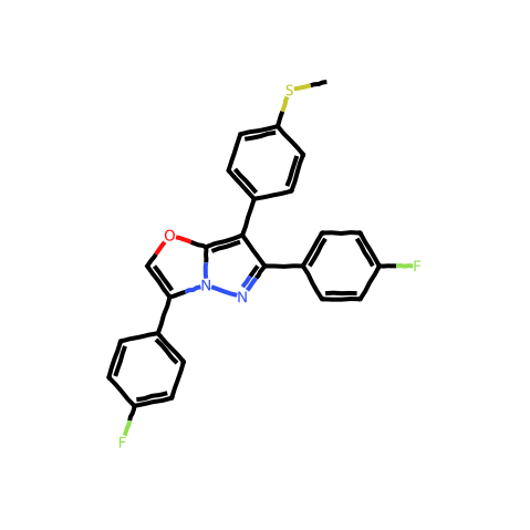 CSc1ccc(-c2c(-c3ccc(F)cc3)nn3c(-c4ccc(F)cc4)coc23)cc1